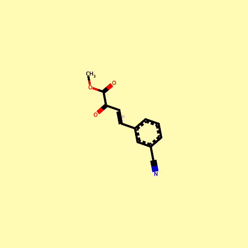 COC(=O)C(=O)/C=C/c1cccc(C#N)c1